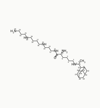 CC(NCCCC[C@H](N)C(=O)NCCCNCCCCNCCCN)C1C2CC3CC(C2)CC1C3